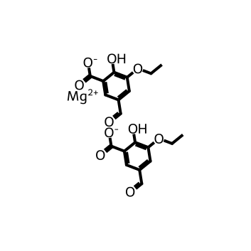 CCOc1cc(C=O)cc(C(=O)[O-])c1O.CCOc1cc(C=O)cc(C(=O)[O-])c1O.[Mg+2]